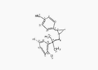 CC(C)(C)c1ccc(C2CC2CC(C)(C)c2cc(F)ccc2Cl)cc1